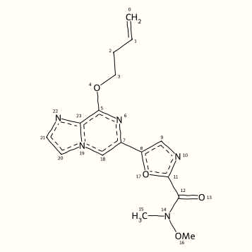 C=CCCOc1nc(-c2cnc(C(=O)N(C)OC)o2)cn2ccnc12